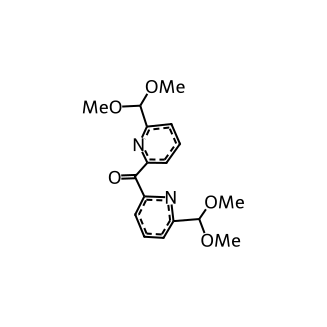 COC(OC)c1cccc(C(=O)c2cccc(C(OC)OC)n2)n1